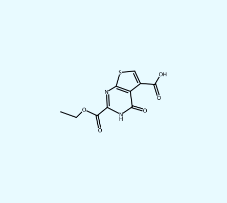 CCOC(=O)c1nc2scc(C(=O)O)c2c(=O)[nH]1